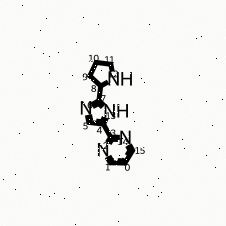 c1cnc(-c2cnc(C3CCCN3)[nH]2)nc1